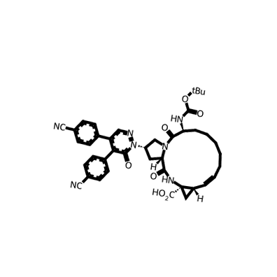 CC(C)(C)OC(=O)N[C@H]1CCCCC/C=C\[C@@H]2C[C@@]2(C(=O)O)NC(=O)[C@@H]2C[C@H](n3ncc(-c4ccc(C#N)cc4)c(-c4ccc(C#N)cc4)c3=O)CN2C1=O